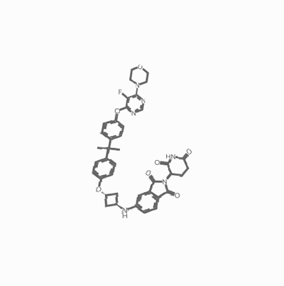 CC(C)(c1ccc(Oc2ncnc(N3CCOCC3)c2F)cc1)c1ccc(O[C@H]2C[C@H](Nc3ccc4c(c3)C(=O)N(C3CCC(=O)NC3=O)C4=O)C2)cc1